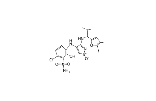 Cc1cc([C@H](Nc2n[s+]([O-])nc2Nc2ccc(Cl)c(S(N)(=O)=O)c2O)C(C)C)oc1C